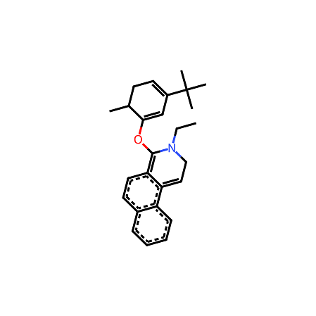 CCN1CC=c2c(ccc3ccccc23)=C1OC1=CC(C(C)(C)C)=CCC1C